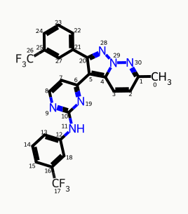 Cc1ccc2c(-c3ccnc(Nc4cccc(C(F)(F)F)c4)n3)c(-c3cccc(C(F)(F)F)c3)nn2n1